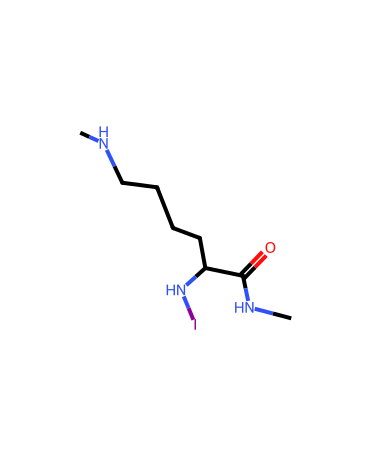 CNCCCCC(NI)C(=O)NC